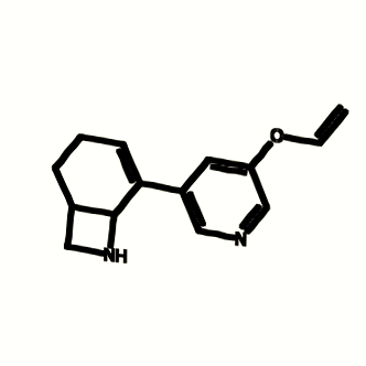 C=COc1cncc(C2=CCCC3CNC23)c1